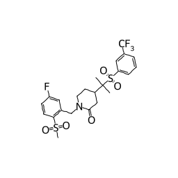 CC(C)(C1CCN(Cc2cc(F)ccc2S(C)(=O)=O)C(=O)C1)S(=O)(=O)c1cccc(C(F)(F)F)c1